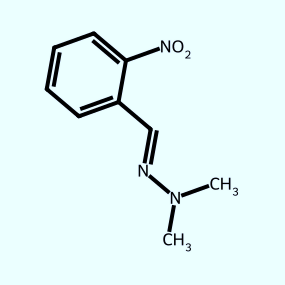 CN(C)/N=C/c1ccccc1[N+](=O)[O-]